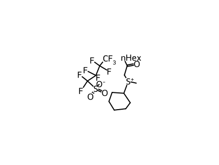 CCCCCCC(=O)C[S+](C)C1CCCCC1.O=S(=O)([O-])C(F)(F)C(F)(F)C(F)(F)C(F)(F)F